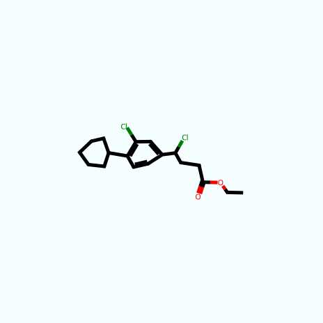 CCOC(=O)CCC(Cl)c1ccc(C2CCCCC2)c(Cl)c1